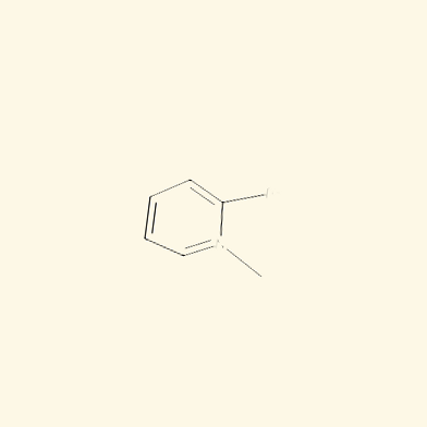 C[n+]1ccccc1Br.[I-]